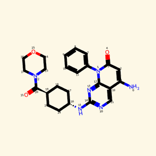 Nc1cc(=O)n(-c2ccccc2)c2nc(N[C@H]3CC[C@H](C(=O)N4CCOCC4)CC3)ncc12